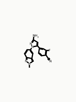 Cn1cc2cc(-n3nc(N)cc3-c3ccc(C#N)c(F)c3)ccc2n1